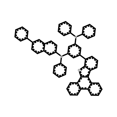 c1ccc(-c2ccc3cc(N(c4ccccc4)c4cc(-c5cccc6c5oc5c7ccccc7c7ccccc7c65)cc(N(c5ccccc5)c5ccccc5)c4)ccc3c2)cc1